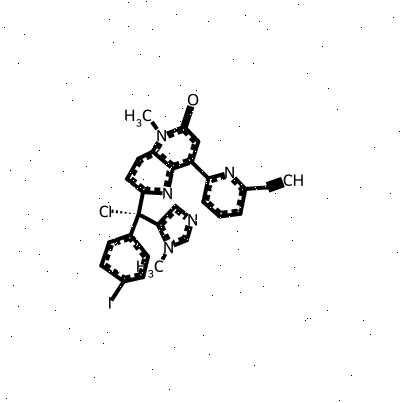 C#Cc1cccc(-c2cc(=O)n(C)c3ccc([C@](Cl)(c4ccc(I)cc4)c4cncn4C)nc23)n1